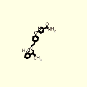 C/C=C(/CN(C)CCc1ccc(Oc2ccc(C(N)=O)cn2)cc1)c1ccccc1